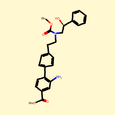 COC(=O)c1ccc(-c2ccc(CCN(C[C@@H](O)c3ccccc3)C(=O)OC(C)(C)C)cc2)c(N)c1